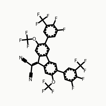 N#CC(C#N)=C1c2cc(OC(F)(F)F)c(-c3cc(F)c(F)c(C(F)(F)F)c3)cc2-c2cc(-c3cc(F)c(F)c(C(F)(F)F)c3)c(OC(F)(F)F)cc21